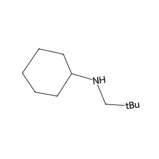 CC(C)(C)CNC1CCCCC1